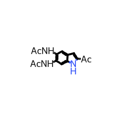 CC(=O)Nc1cc2cc(C(C)=O)[nH]c2cc1NC(C)=O